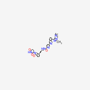 CC(=O)N1CCn2c(C)nc(-c3cccc4cc(-c5ccc(C(=O)NCCC#Cc6cccc7c6CN(C6CCC(=O)NC6=O)C7=O)nc5)ncc34)c2C1